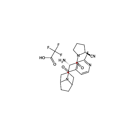 N#C[C@@H]1CCCN1C(=O)[C@@H](N)C1CC2CCC(C1)N2C(=O)c1ccnc(F)c1.O=C(O)C(F)(F)F